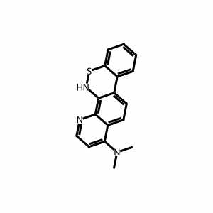 CN(C)c1ccnc2c3c(ccc12)-c1ccccc1SN3